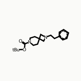 CC(C)(C)OC(=O)N1CCC2(CC1)CN(CCc1ccccc1)C2